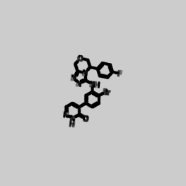 O=c1[nH]nccc1-c1ccc(Br)c(Nc2nnc3n2C(c2ccc(F)cc2)COC3)c1